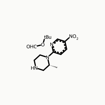 CC(C)(C)OC=O.C[C@@H]1CNCCN1c1ccc([N+](=O)[O-])cn1